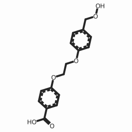 O=C(O)c1ccc(OCCOc2ccc(COO)cc2)cc1